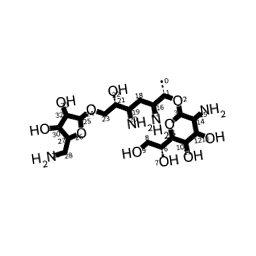 C[C@H](OC1OC([C@H](O)CO)C(O)C(O)C1N)C(N)CC(N)[C@@H](O)COC1OC(CN)C(O)C1O